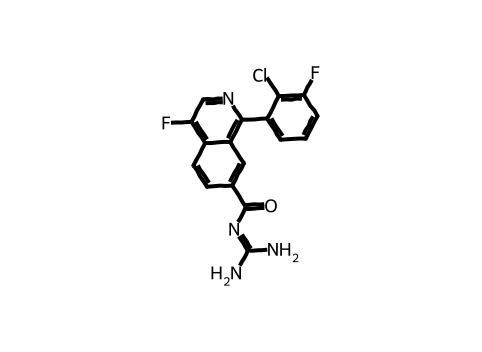 NC(N)=NC(=O)c1ccc2c(F)cnc(-c3cccc(F)c3Cl)c2c1